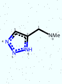 CNCc1[c]nn[nH]1